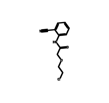 N#Cc1ccccc1NC(=O)COCCCl